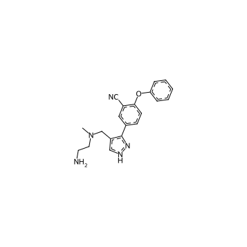 CN(CCN)Cc1c[nH]nc1-c1ccc(Oc2ccccc2)c(C#N)c1